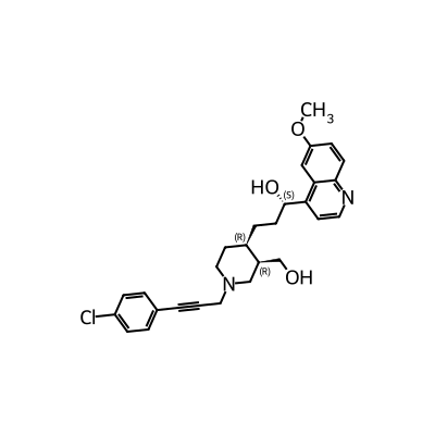 COc1ccc2nccc([C@@H](O)CC[C@@H]3CCN(CC#Cc4ccc(Cl)cc4)C[C@@H]3CO)c2c1